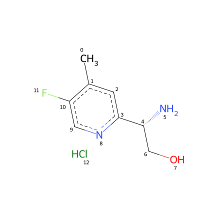 Cc1cc([C@H](N)CO)ncc1F.Cl